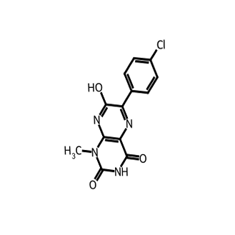 Cn1c(=O)[nH]c(=O)c2nc(-c3ccc(Cl)cc3)c(O)nc21